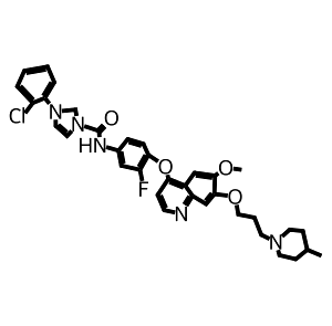 COc1cc2c(Oc3ccc(NC(=O)N4C=CN(c5ccccc5Cl)C4)cc3F)ccnc2cc1OCCCN1CCC(C)CC1